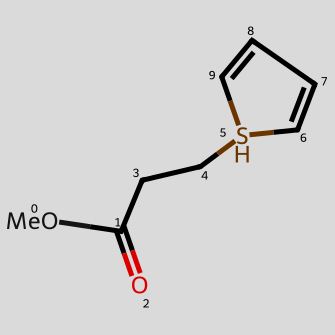 COC(=O)CC[SH]1C=CC=C1